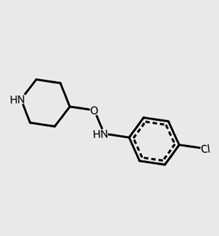 Clc1ccc(NOC2CCNCC2)cc1